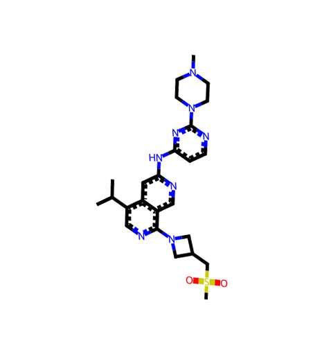 CC(C)c1cnc(N2CC(CS(C)(=O)=O)C2)c2cnc(Nc3ccnc(N4CCN(C)CC4)n3)cc12